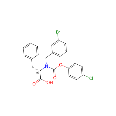 O=C(O)[C@H](Cc1ccccc1)N(Cc1cccc(Br)c1)C(=O)Oc1ccc(Cl)cc1